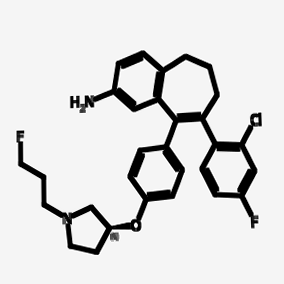 Nc1ccc2c(c1)C(c1ccc(O[C@H]3CCN(CCCF)C3)cc1)=C(c1ccc(F)cc1Cl)CCC2